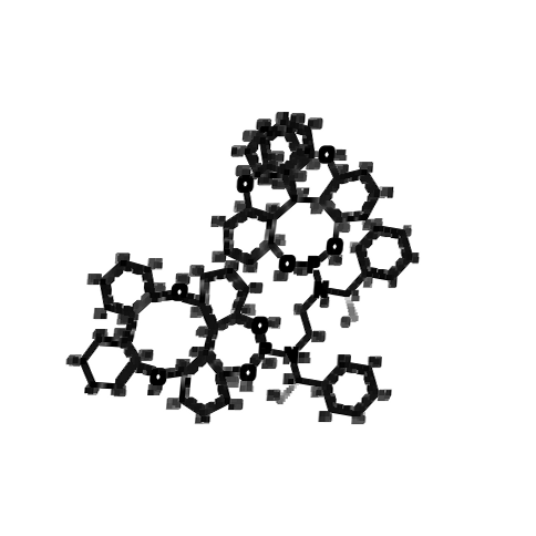 C[C@@H](c1ccccc1)N(CCN([C@@H](C)c1ccccc1)p1oc2cccc3oc4c(c5ccccc5oc5cccc(o1)c5c32)=CCCC=4)P1Oc2cccc3c2C2(c4ccccc4O3)c3ccccc3Oc3cccc(c32)O1